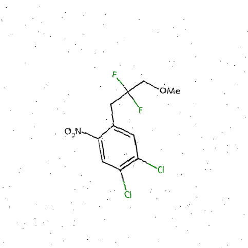 COCC(F)(F)Cc1cc(Cl)c(Cl)cc1[N+](=O)[O-]